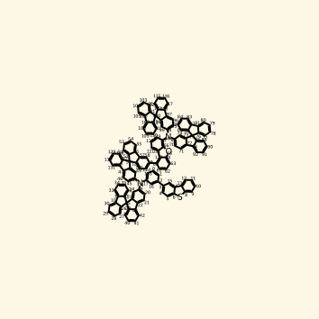 c1cc(-c2ccc3sc4ccccc4c3c2)cc(N(c2ccc3c(c2)C2(c4ccccc4-c4ccccc42)c2ccccc2-3)c2ccc3c(c2)C2(c4ccccc4-c4cc(-c5cccc6oc7c(N(c8ccc9c(c8)C8(c%10ccccc%10-c%10ccccc%108)c8ccccc8-9)c8ccc9c(c8)C8(c%10ccccc%10-c%10ccccc%108)c8ccccc8-9)cccc7c56)ccc42)c2ccccc2-3)c1